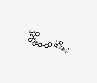 COC(=O)NCC(=O)N1CCC[C@H]1c1ncc(-c2ccc3cc(-c4ccc(-c5cnc([C@@H]6CCCN6C(=O)[C@@H](NC(=O)OC)c6ccccc6)[nH]5)cc4)ccc3c2)[nH]1